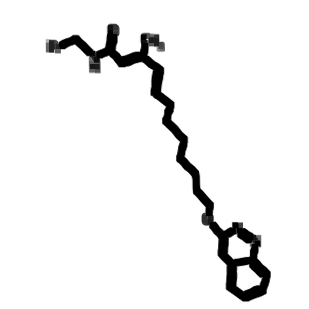 CC(C=CCCCCCCCOc1cc2ccccc2nn1)=CC(=O)NCC(C)C